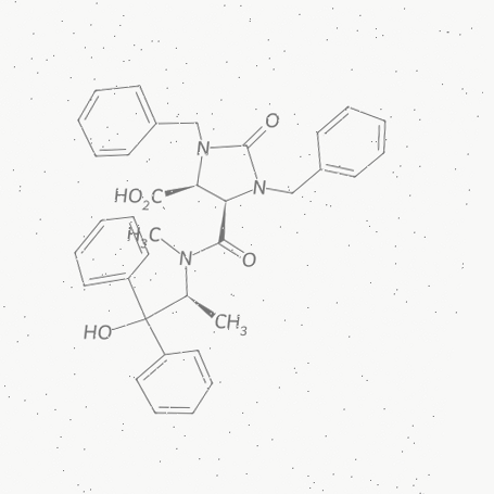 C[C@H](N(C)C(=O)[C@H]1[C@@H](C(=O)O)N(Cc2ccccc2)C(=O)N1Cc1ccccc1)C(O)(c1ccccc1)c1ccccc1